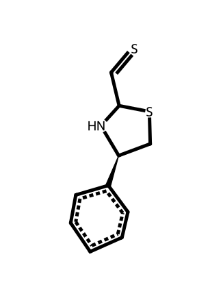 S=CC1N[C@H](c2ccccc2)CS1